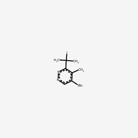 Cc1c(C(C)(C)C)cnnc1C(C)(C)I